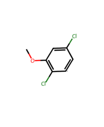 COc1cc(Cl)c[c]c1Cl